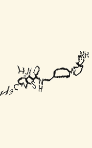 Cc1ccc2c(N)c(C(=O)NCCc3ccc(N4CCCC5(CCNC5)C4)cc3)sc2n1